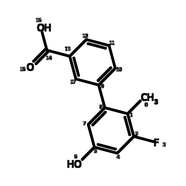 Cc1c(F)cc(O)cc1-c1cccc(C(=O)O)c1